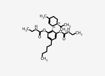 C=C(C)[C@@H]1CCC(C)=C[C@H]1c1c(OC(=O)NCC)cc(CCCCC)cc1OC(=O)NCC